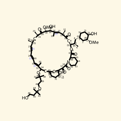 CO[C@@H]1C[C@H](C[C@@H](C)[C@@H]2CC(=O)[C@H](C)/C=C(\C)[C@@H](O)[C@@H](OC)C(=O)[C@H](C)C[C@H](C)/C=C/C=C/C=C(\C)C(OC(C)(C)CCOC(C)(C)CCO)C[C@@H]3CC[C@@H](C)[C@@](O)(O3)C(=O)C(=O)N3CCCCC3C(=O)O2)CC[C@H]1O